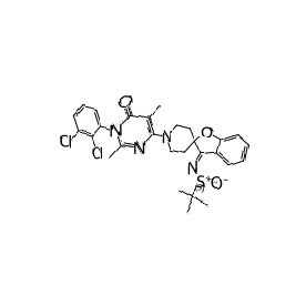 Cc1c(N2CCC3(CC2)Oc2ccccc2C3=N[S@+]([O-])C(C)(C)C)nc(C)n(-c2cccc(Cl)c2Cl)c1=O